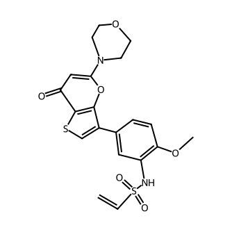 C=CS(=O)(=O)Nc1cc(-c2csc3c(=O)cc(N4CCOCC4)oc23)ccc1OC